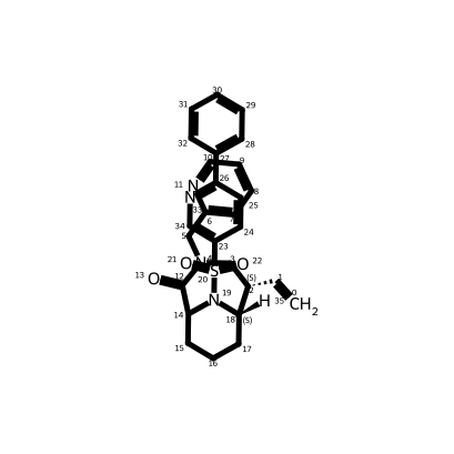 C=C[C@H]1CN(Cc2ccccn2)C(=O)C2CCC[C@@H]1N2S(=O)(=O)c1ccc(-c2ccccc2)nc1